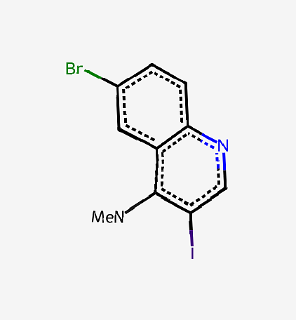 CNc1c(I)cnc2ccc(Br)cc12